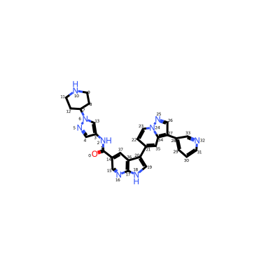 O=C(Nc1cnn(C2CCNCC2)c1)c1cnc2[nH]cc(-c3ccn4ncc(-c5cccnc5)c4c3)c2c1